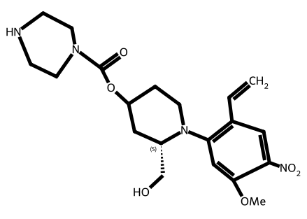 C=Cc1cc([N+](=O)[O-])c(OC)cc1N1CCC(OC(=O)N2CCNCC2)C[C@H]1CO